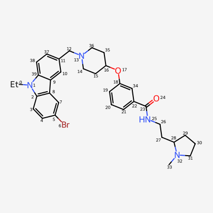 CCn1c2ccc(Br)cc2c2cc(CN3CCC(Oc4cccc(C(=O)NCCC5CCCN5C)c4)CC3)ccc21